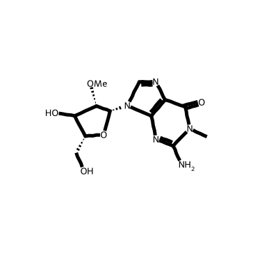 CO[C@H]1C(O)[C@@H](CO)O[C@H]1n1cnc2c(=O)n(C)c(N)nc21